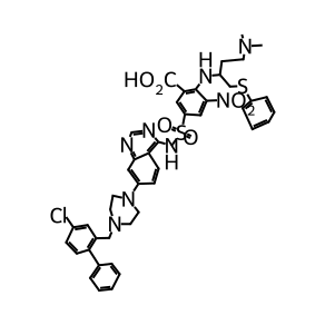 CN(C)CCC(CSc1ccccc1)Nc1c(C(=O)O)cc(S(=O)(=O)Nc2ncnc3cc(N4CCN(Cc5cc(Cl)ccc5-c5ccccc5)CC4)ccc23)cc1[N+](=O)[O-]